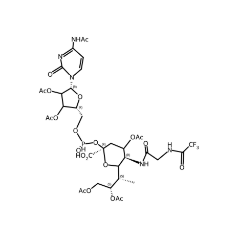 CC(=O)Nc1ccn([C@@H]2O[C@H](CO[PH](=O)O[C@@]3(C(=O)O)CC(OC(C)=O)[C@@H](NC(=O)CNC(=O)C(F)(F)F)C([C@H](C)[C@@H](COC(C)=O)OC(C)=O)O3)C(OC(C)=O)C2OC(C)=O)c(=O)n1